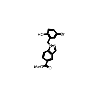 COC(=O)c1ccc2c(cnn2Cc2cc(Br)ccc2O)c1